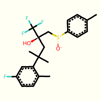 Cc1ccc([S@+]([O-])C[C@](O)(CC(C)(C)c2cc(F)ccc2C)C(F)(F)F)cc1